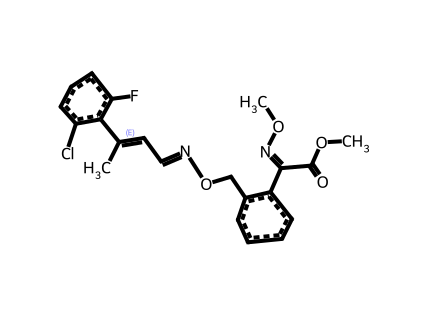 CON=C(C(=O)OC)c1ccccc1CON=C/C=C(\C)c1c(F)cccc1Cl